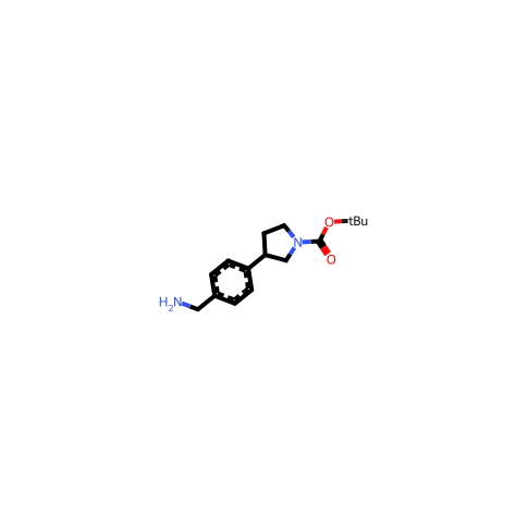 CC(C)(C)OC(=O)N1CCC(c2ccc(CN)cc2)C1